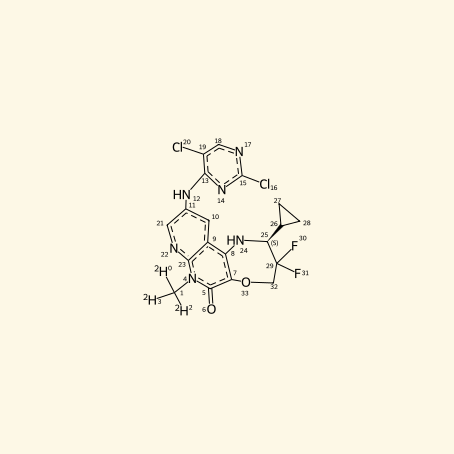 [2H]C([2H])([2H])n1c(=O)c2c(c3cc(Nc4nc(Cl)ncc4Cl)cnc31)N[C@@H](C1CC1)C(F)(F)CO2